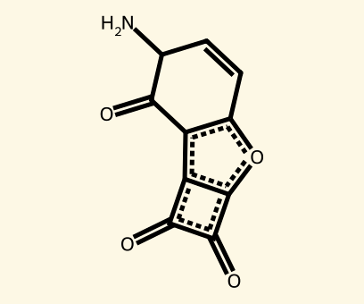 NC1C=Cc2oc3c(=O)c(=O)c3c2C1=O